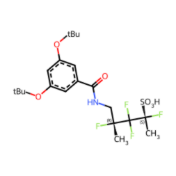 CC(C)(C)Oc1cc(OC(C)(C)C)cc(C(=O)NC[C@@](C)(F)C(F)(F)[C@@](C)(F)S(=O)(=O)O)c1